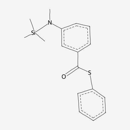 CN(c1cccc(C(=O)Sc2ccccc2)c1)[Si](C)(C)C